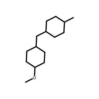 COC1CCC(CC2CCC(C)CC2)CC1